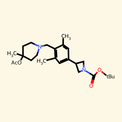 CC(=O)OC1(C)CCN(Cc2c(C)cc(C3CN(C(=O)OC(C)(C)C)C3)cc2C)CC1